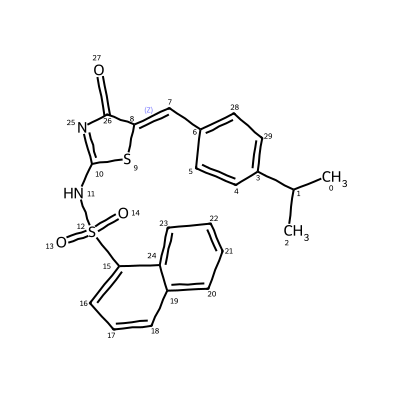 CC(C)c1ccc(/C=C2\SC(NS(=O)(=O)c3cccc4ccccc34)=NC2=O)cc1